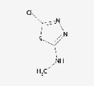 CNc1nnc(Cl)s1